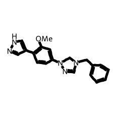 COc1cc(N2CN(Cc3ccccc3)C=N2)ccc1-c1cn[nH]c1